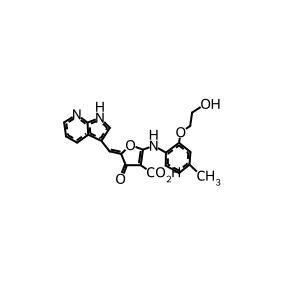 Cc1ccc(NC2=C(C(=O)O)C(=O)/C(=C/c3c[nH]c4ncccc34)O2)c(OCCO)c1